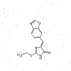 CCSC1=N/C(=C\c2ccc3ncoc3c2)C(=O)N1